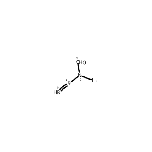 B=BN(I)C=O